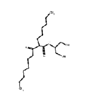 CCCCCCCC(=O)C(CCCCCC)C(=O)NC(CO)CO